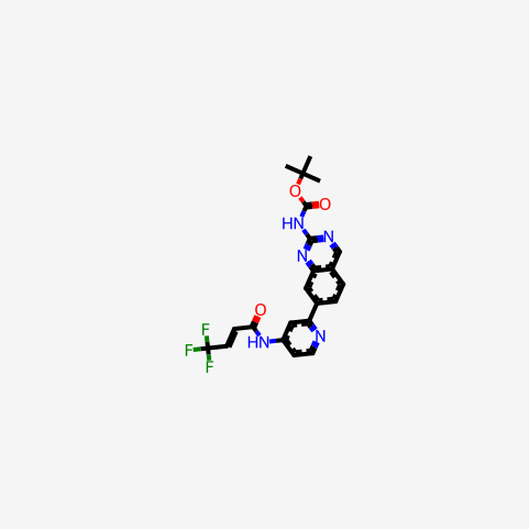 CC(C)(C)OC(=O)Nc1ncc2ccc(-c3cc(NC(=O)/C=C/C(F)(F)F)ccn3)cc2n1